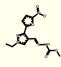 CCn1cc(/C=N/NC(=O)OC)c(-c2ccc([N+](=O)[O-])o2)n1